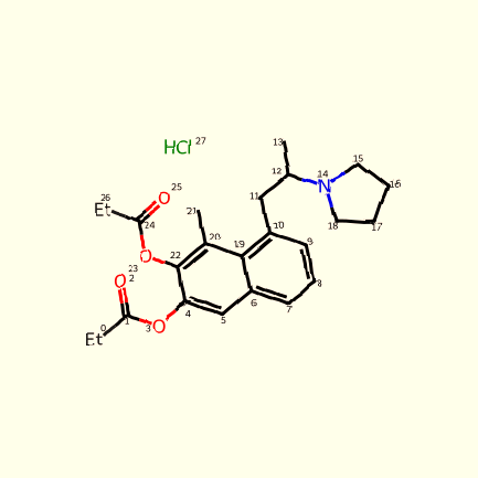 CCC(=O)Oc1cc2cccc(CC(C)N3CCCC3)c2c(C)c1OC(=O)CC.Cl